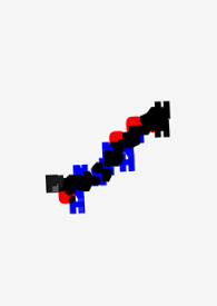 CCc1cc2ncc(CN3CCN(c4ccc(C(=O)NC5CN(C(=O)CC67CC8C[C@H]9C[C@H](C6)[C@]89C7)C5)nc4)CC3)cc2[nH]c1=O